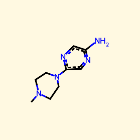 CN1CCN(c2cnc(N)cn2)CC1